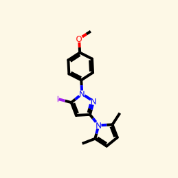 COc1ccc(-n2nc(-n3c(C)ccc3C)cc2I)cc1